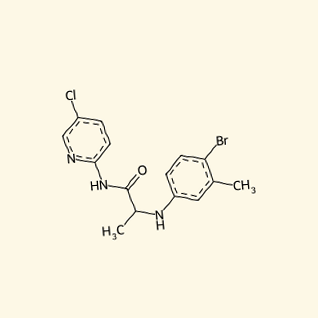 Cc1cc(NC(C)C(=O)Nc2ccc(Cl)cn2)ccc1Br